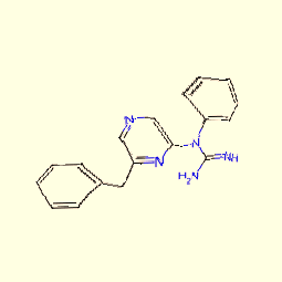 N=C(N)N(c1ccccc1)c1cncc(Cc2ccccc2)n1